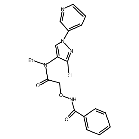 CCN(C(=O)CONC(=O)c1ccccc1)c1cn(-c2cccnc2)nc1Cl